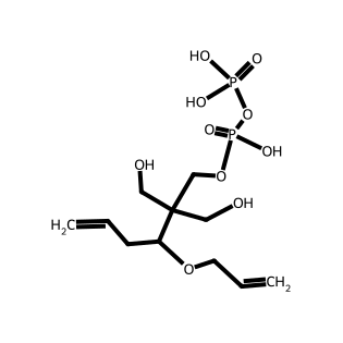 C=CCOC(CC=C)C(CO)(CO)COP(=O)(O)OP(=O)(O)O